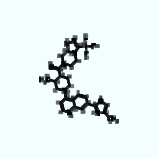 Cc1coc(-c2ccc3c(N4CCC(C(=O)N5CCn6c(nnc6C(F)(F)F)C5)C(C)C4)ccnc3c2)n1